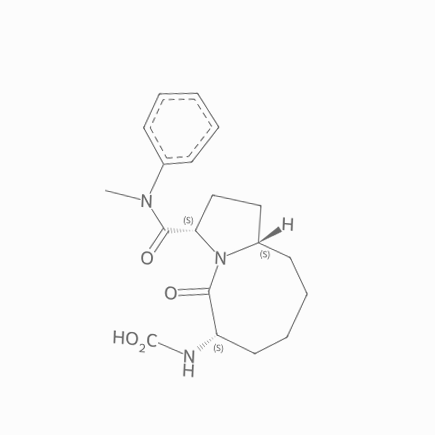 CN(C(=O)[C@@H]1CC[C@@H]2CCCC[C@H](NC(=O)O)C(=O)N21)c1ccccc1